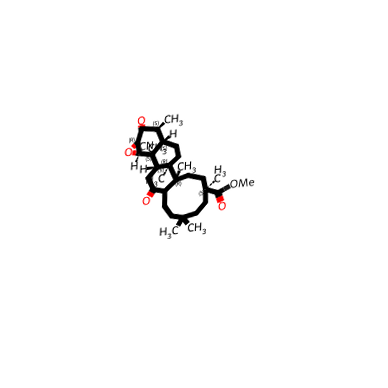 COC(=O)[C@@]1(C)CCC(C)(C)CCC2C(=O)C[C@@H]3[C@@]4(C)[C@H]5O[C@@]5(C#N)C(=O)[C@@H](C)[C@@H]4CC[C@@]3(C)[C@]2(C)CC1